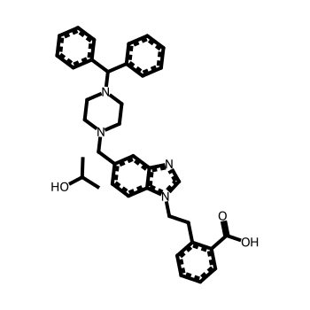 CC(C)O.O=C(O)c1ccccc1CCn1cnc2cc(CN3CCN(C(c4ccccc4)c4ccccc4)CC3)ccc21